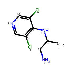 CC(CN)Nc1c(Cl)cncc1Cl